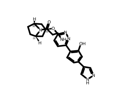 NCCC(=O)N1[C@@H]2CC[C@H]1C[C@H](Oc1ccc(-c3ccc(-c4cn[nH]c4)cc3O)nn1)C2